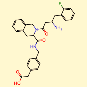 NC(CC(=O)N1Cc2ccccc2CC1C(=O)NCc1ccc(CC(=O)O)cc1)Cc1ccccc1F